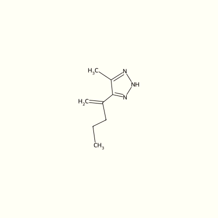 C=C(CCC)c1n[nH]nc1C